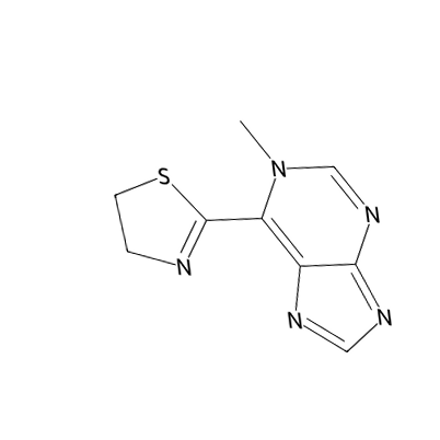 Cn1cnc2ncnc-2c1C1=NCCS1